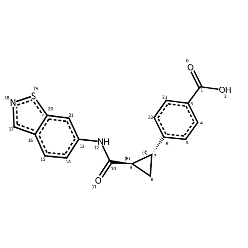 O=C(O)c1ccc([C@@H]2C[C@H]2C(=O)Nc2ccc3cnsc3c2)cc1